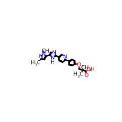 Cc1cc(-c2cnc(-c3ccc(-c4ccc(OCC(C)(C)C(=O)O)cc4)nc3)[nH]2)n(C)n1